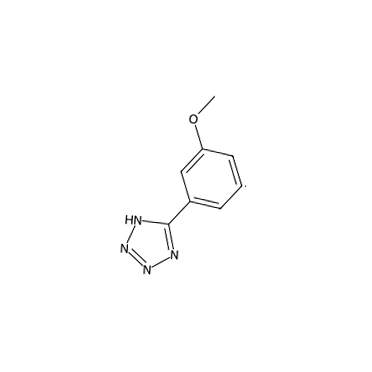 COc1c[c]cc(-c2nnn[nH]2)c1